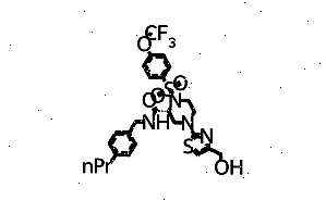 CCCc1ccc(CNC(=O)[C@H]2CN(c3nc(CO)cs3)CCN2S(=O)(=O)c2ccc(OC(F)(F)F)cc2)cc1